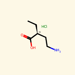 CC[C@@H](CCN)C(=O)O.Cl